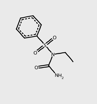 CCN(C(N)=O)S(=O)(=O)c1ccccc1